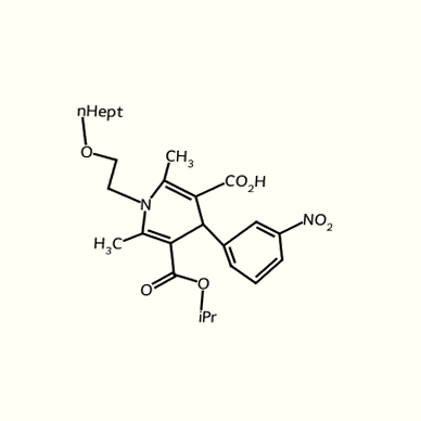 CCCCCCCOCCN1C(C)=C(C(=O)O)C(c2cccc([N+](=O)[O-])c2)C(C(=O)OC(C)C)=C1C